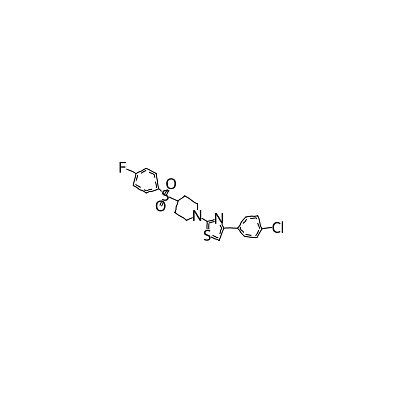 O=S(=O)(c1ccc(F)cc1)C1CCN(c2nc(-c3ccc(Cl)cc3)cs2)CC1